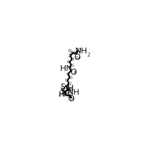 C[C@@H](CCCCNC(=O)CCCCC1SC[C@@H]2CC(=O)N[C@H]12)C(N)=O